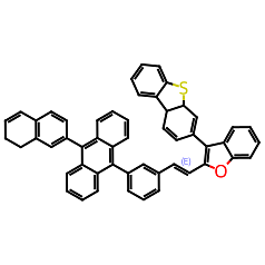 C1=Cc2ccc(-c3c4ccccc4c(-c4cccc(/C=C/c5oc6ccccc6c5C5=CC6Sc7ccccc7C6C=C5)c4)c4ccccc34)cc2CC1